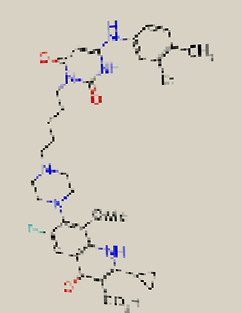 CCc1cc(Nc2cc(=O)n(CCCCCN3CCN(c4c(F)cc5c(=O)c(C(=O)O)c(C6CC6)[nH]c5c4OC)CC3)c(=O)[nH]2)ccc1C